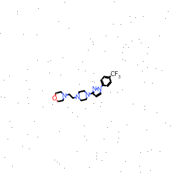 FC(F)(F)c1ccc(-n2ccc(N3CCN(CCN4CCOCC4)CC3)n2)cc1